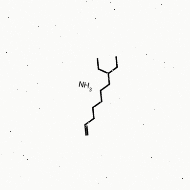 C=CCCCCCC(CC)CC.N